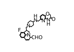 O=CC1C=Cc2ccc(F)c3c2N1CC3CN1CCC(NCc2ccc3c(n2)NC(=O)CO3)CC1